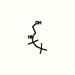 CC(C)(C)CC(C)(C)NCCO